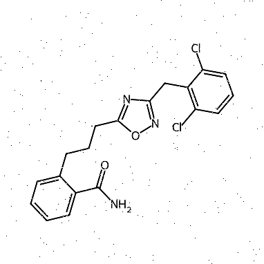 NC(=O)c1ccccc1CC[CH]c1nc(Cc2c(Cl)cccc2Cl)no1